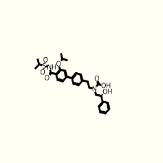 CC(C)Oc1cc(-c2ccc(CCN(C[C@@H](O)c3ccccc3)C(=O)O)cc2)ccc1C(=O)NS(=O)(=O)C(C)C